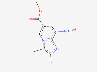 Br.COC(=O)c1cc(N)c2nc(C)c(C)n2c1